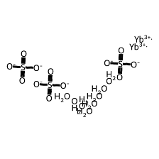 O.O.O.O.O.O.O.O.O=S(=O)([O-])[O-].O=S(=O)([O-])[O-].O=S(=O)([O-])[O-].[Yb+3].[Yb+3]